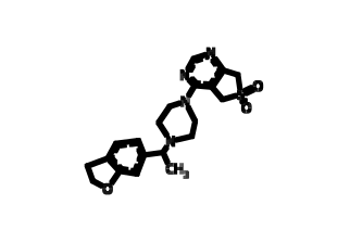 CC(c1ccc2c(c1)OCC2)N1CCN(c2ncnc3c2CS(=O)(=O)C3)CC1